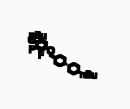 CCCCOc1ccc(OCC2CCC([C@H]3CC[C@H](CCCC)CC3)CC2)c(F)c1F